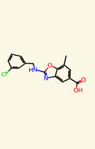 Cc1cc(C(=O)O)cc2nc(NCc3cccc(Cl)c3)oc12